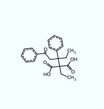 CCC(C(=O)O)(C(=O)O)C(CC)(CC(=O)c1ccccc1)c1ccccc1